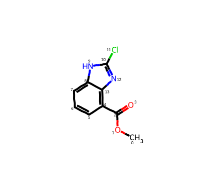 COC(=O)c1cccc2[nH]c(Cl)nc12